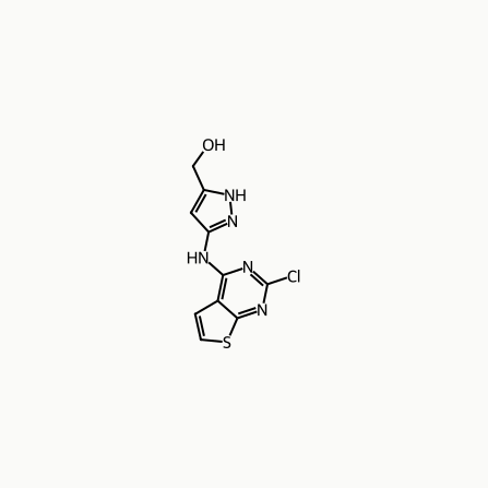 OCc1cc(Nc2nc(Cl)nc3sccc23)n[nH]1